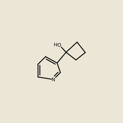 OC1(c2cccnc2)CCC1